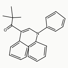 CC(C)(C)C(=O)/C(=C/N(c1ccccc1)c1ccccc1)c1ccccc1